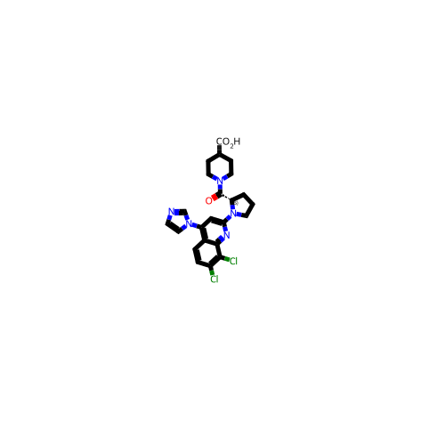 O=C(O)C1CCN(C(=O)[C@@H]2CCCN2c2cc(-n3ccnc3)c3ccc(Cl)c(Cl)c3n2)CC1